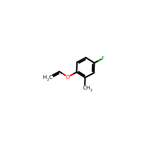 C=COc1ccc(F)cc1C